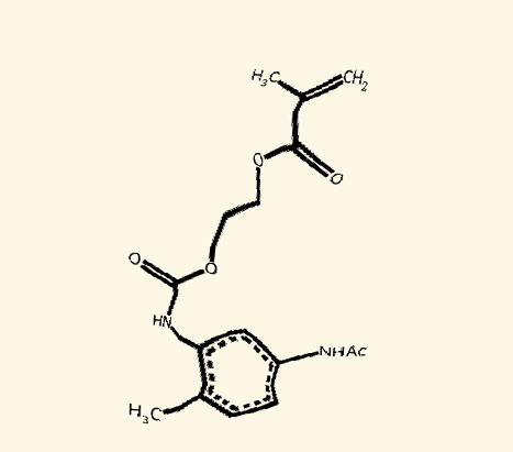 C=C(C)C(=O)OCCOC(=O)Nc1cc(NC(C)=O)ccc1C